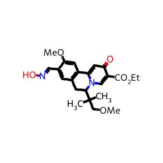 CCOC(=O)c1cn2c(cc1=O)-c1cc(OC)c(C=NO)cc1CC2C(C)(C)COC